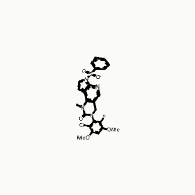 COc1cc(OC)c(Cl)c(N2Cc3cnc4c(ccn4S(=O)(=O)c4ccccc4)c3N(C)C2=O)c1F